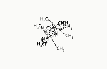 CCCCCCCCCCc1cc(-c2cc(F)c(C)c3nsnc23)sc1-c1sc(-c2cc(F)c(-c3cc4c(-c5cc(CCCCCC)c(CC(CC)CCCC)s5)c5sc(C)cc5c(-c5cc(CCCCCC)c(CC(CC)CCCC)s5)c4s3)c3nsnc23)cc1CCCCCCCCCC